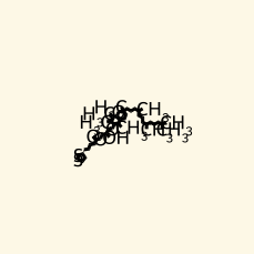 Cc1c(C)c2c(c(C)c1OCC(O)COC(=O)CCCC[C@@H]1CCSS1)CCC(C)(CCCC(C)CCCC(C)CCCC(C)C)O2